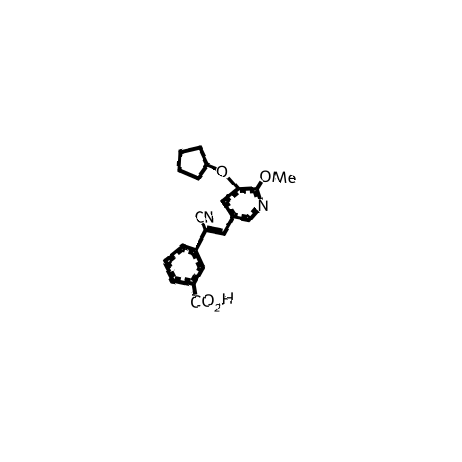 COc1ncc(/C=C(\C#N)c2cccc(C(=O)O)c2)cc1OC1CCCC1